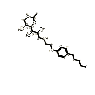 CCCCCc1ccc(OCCNC[C@H](O)[C@@H](O)[C@@H]2OC(C)OC[C@H]2O)cc1